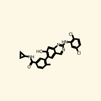 Cc1ccc(C(=O)NC2CC2)cc1-c1cc2cnc(Nc3cc(Cl)ccc3Cl)nc2cc1O